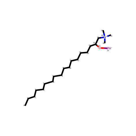 CCCCCCCCCCCCCCCCC(C[N+](C)(C)C)O[PH-]